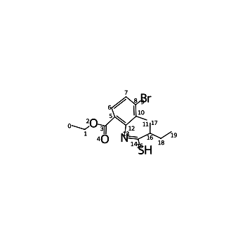 CCOC(=O)c1ccc(Br)c(C)c1/N=C(/S)C(C)CC